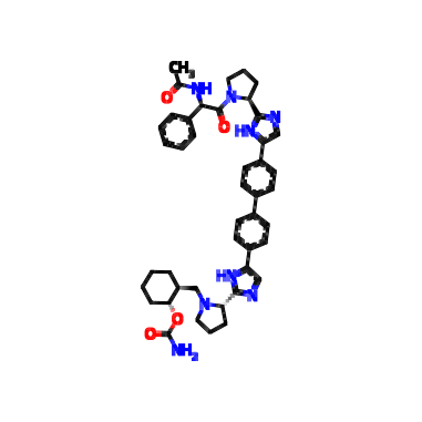 CC(=O)N[C@@H](C(=O)N1CCC[C@H]1c1ncc(-c2ccc(-c3ccc(-c4cnc([C@@H]5CCCN5C[C@@H]5CCCC[C@H]5OC(N)=O)[nH]4)cc3)cc2)[nH]1)c1ccccc1